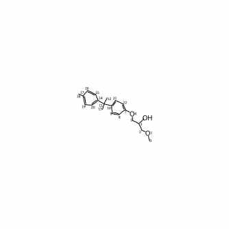 COCC(O)COc1ccc(C(C)(C)c2ccc(C)cc2)cc1